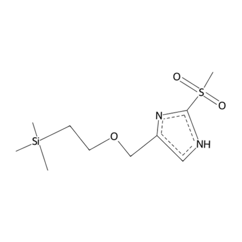 C[Si](C)(C)CCOCc1c[nH]c(S(C)(=O)=O)n1